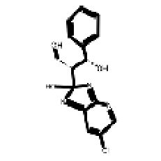 OC[C@H]([C@@H](O)c1ccccc1)C1(O)N=c2cc(Cl)cnc2=N1